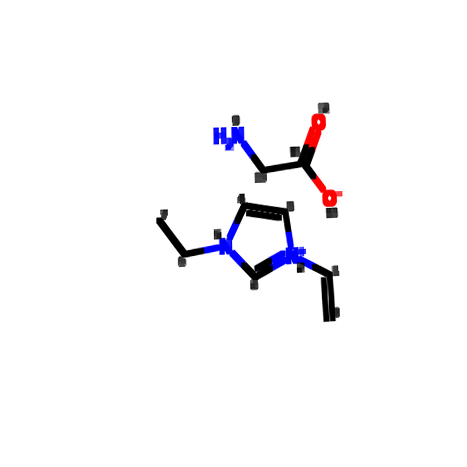 C=C[n+]1ccn(CC)c1.NCC(=O)[O-]